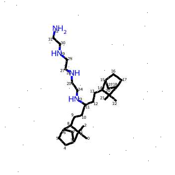 CC1(C)C2CCC(C2)C1CCC(CCC1C2CCC(C2)C1(C)C)NCCNCCNCCN